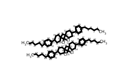 CCCCCCc1ccc(C2CCC3(CC2)CC2(CCC(c4ccc(CCCCCC)cc4)CC2)C3(Cl)Cl)cc1.CCCCCc1ccc(C2CCC3(CC2)CC2(CCC(c4ccc(CCCCC)cc4)CC2)C3(Cl)Cl)cc1